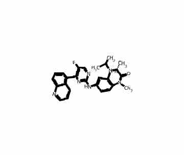 CC(C)N1c2cc(Nc3ncc(F)c(-c4cccc5ncccc45)n3)ccc2N(C)C(=O)[C@H]1C